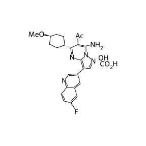 CO[C@H]1CC[C@H](c2nc3c(-c4cnc5ccc(F)cc5c4)cnn3c(N)c2C(C)=O)CC1.O=C(O)O